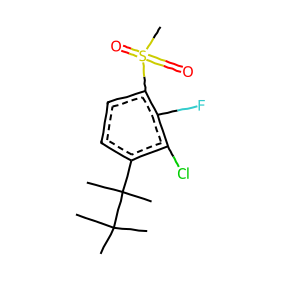 CC(C)(C)C(C)(C)c1ccc(S(C)(=O)=O)c(F)c1Cl